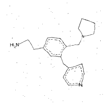 NCCc1ccc(CN2CCCC2)c(-c2ccncc2)c1